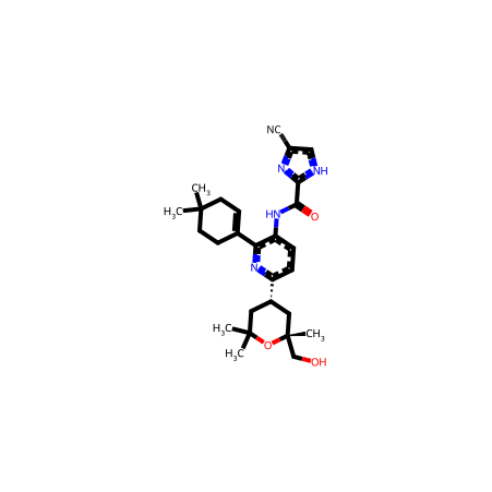 CC1(C)CC=C(c2nc([C@H]3CC(C)(C)O[C@@](C)(CO)C3)ccc2NC(=O)c2nc(C#N)c[nH]2)CC1